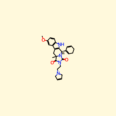 COc1ccc2[nH]c3c(c2c1)CC1(C)C(=O)N(CCN2CC=CC2)C(=O)N1[C@@H]3C1=CCCC=C1